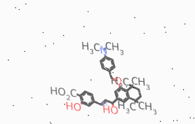 CN(C)c1ccc(COc2cc(C(O)/C=C/c3ccc(C(=O)O)c(O)c3)cc3c2C(C)(C)CCC3(C)C)cc1